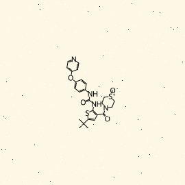 CC(C)(C)c1cc(C(=O)N2CC[S+]([O-])CC2)c(NC(=O)Nc2ccc(Oc3ccncc3)cc2)s1